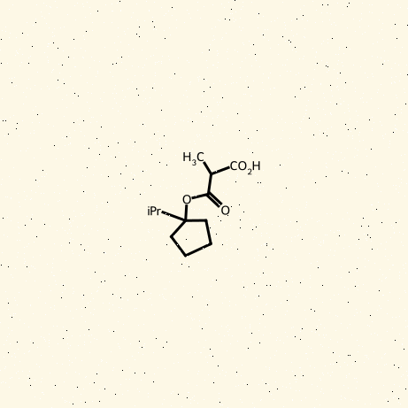 CC(C(=O)O)C(=O)OC1(C(C)C)CCCC1